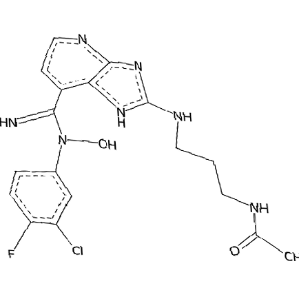 CC(=O)NCCCNc1nc2nccc(C(=N)N(O)c3ccc(F)c(Cl)c3)c2[nH]1